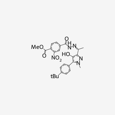 COC(=O)c1ccc(C(=O)N/N=C(/C)c2nn(C)c(-c3ccc(C(C)(C)C)cc3)c2O)cc1[N+](=O)[O-]